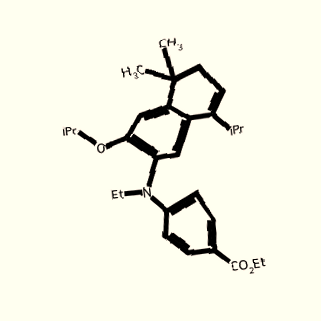 CCOC(=O)c1ccc(N(CC)c2cc3c(cc2OC(C)C)C(C)(C)CC=C3C(C)C)cc1